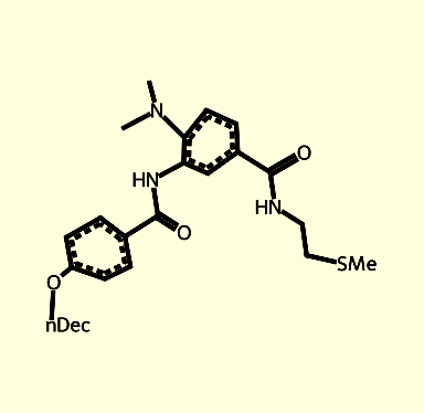 CCCCCCCCCCOc1ccc(C(=O)Nc2cc(C(=O)NCCSC)ccc2N(C)C)cc1